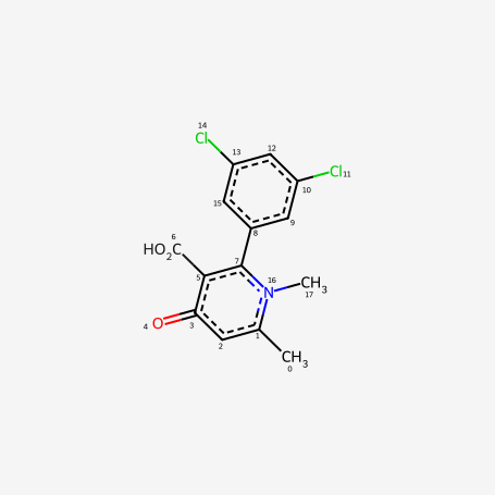 Cc1cc(=O)c(C(=O)O)c(-c2cc(Cl)cc(Cl)c2)n1C